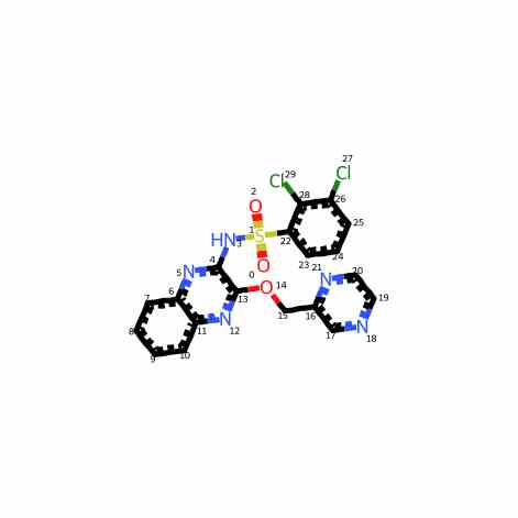 O=S(=O)(Nc1nc2ccccc2nc1OCc1cnccn1)c1cccc(Cl)c1Cl